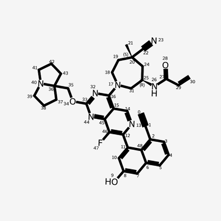 C#Cc1cccc2cc(O)cc(-c3ncc4c(N5CC[C@](C)(C#N)C[C@@H](NC(=O)C=C)C5)nc(OCC56CCCN5CCC6)nc4c3F)c12